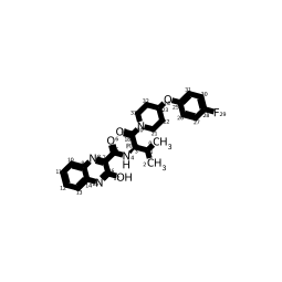 CC(C)[C@@H](NC(=O)c1nc2ccccc2nc1O)C(=O)N1CCC(Oc2ccc(F)cc2)CC1